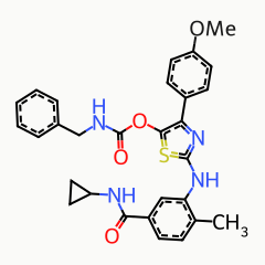 COc1ccc(-c2nc(Nc3cc(C(=O)NC4CC4)ccc3C)sc2OC(=O)NCc2ccccc2)cc1